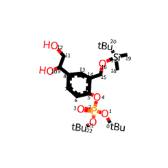 CC(C)(C)OP(=O)(Oc1ccc(C(O)CO)cc1CO[Si](C)(C)C(C)(C)C)OC(C)(C)C